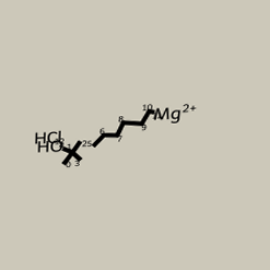 CC(C)(C)O.CCCCC[CH2][Mg+2].Cl